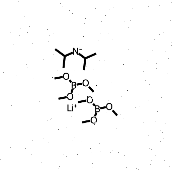 CC(C)[N-]C(C)C.COB(OC)OC.COB(OC)OC.[Li+]